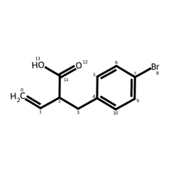 C=CC(Cc1ccc(Br)cc1)C(=O)O